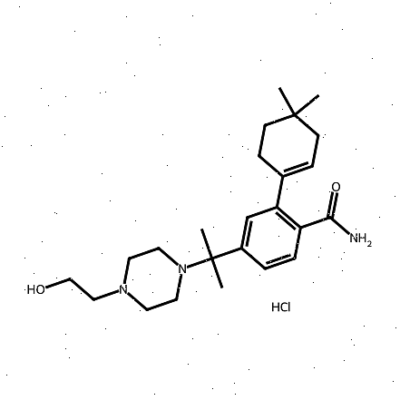 CC1(C)CC=C(c2cc(C(C)(C)N3CCN(CCO)CC3)ccc2C(N)=O)CC1.Cl